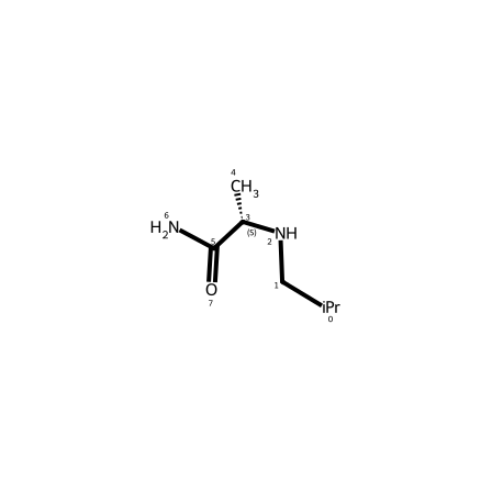 CC(C)CN[C@@H](C)C(N)=O